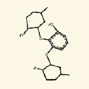 CC1CCC(C(C)C)C(Oc2cccc(O)c2OC2CC(C)CCC2C(C)C)C1